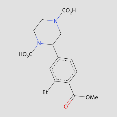 CCc1cc(C2CN(C(=O)O)CCN2C(=O)O)ccc1C(=O)OC